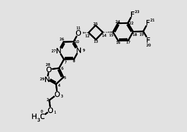 COCOc1cc(-c2cnc(O[C@H]3C[C@@H](c4ccc(C(F)F)c(F)c4)C3)cn2)on1